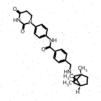 CC1(C)[C@@H]2CC[C@@]1(C)[C@@H](NCc1ccc(C(=O)Nc3ccc(N4CCC(=O)NC4=O)cc3)cc1)C2